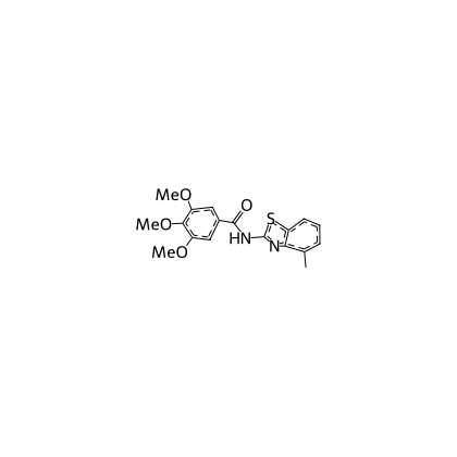 COc1cc(C(=O)Nc2nc3c(C)cccc3s2)cc(OC)c1OC